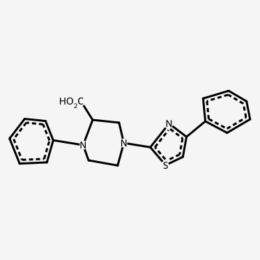 O=C(O)C1CN(c2nc(-c3ccccc3)cs2)CCN1c1ccccc1